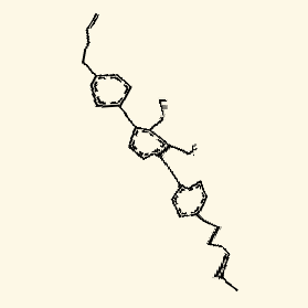 C=CCCc1ccc(-c2ccc(-c3ccc(CC/C=C/C)cc3)c(F)c2F)cc1